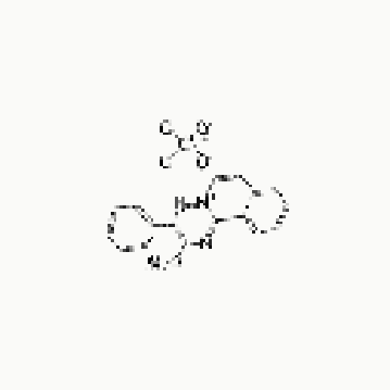 COc1nc2c3ccccc3cc[n+]2nc1-c1ccccc1.[O-][Cl+3]([O-])([O-])[O-]